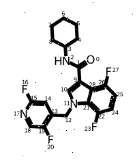 O=C(NC1CCCCC1)c1cn(Cc2cc(F)ncc2F)c2c(F)ccc(F)c12